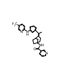 CC(=C1CCC2(NC(=O)c3cccnc3)CCC1C2)c1cccc(Nc2ccc(C(F)(F)F)cn2)c1